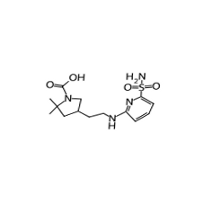 CC1(C)CC(CCNc2cccc(S(N)(=O)=O)n2)CN1C(=O)O